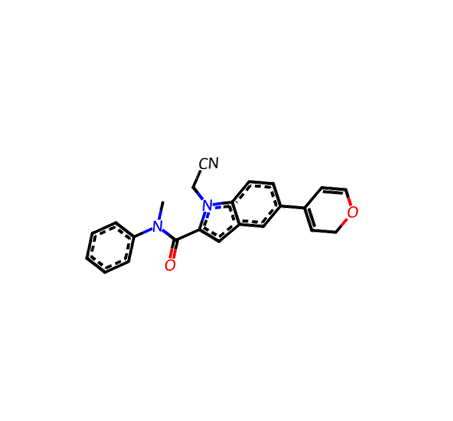 CN(C(=O)c1cc2cc(C3=CCOC=C3)ccc2n1CC#N)c1ccccc1